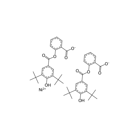 CC(C)(C)c1cc(C(=O)Oc2ccccc2C(=O)[O-])cc(C(C)(C)C)c1O.CC(C)(C)c1cc(C(=O)Oc2ccccc2C(=O)[O-])cc(C(C)(C)C)c1O.[Ni+2]